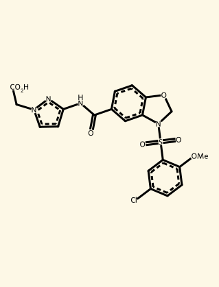 COc1ccc(Cl)cc1S(=O)(=O)N1COc2ccc(C(=O)Nc3ccn(CC(=O)O)n3)cc21